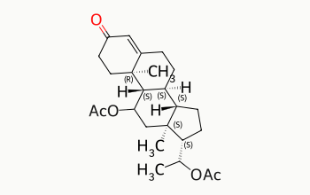 CC(=O)OC(C)[C@H]1CC[C@H]2[C@@H]3CCC4=CC(=O)CC[C@]4(C)[C@H]3C(OC(C)=O)C[C@]12C